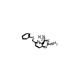 Nc1nc(N)c2nc(CSc3ccccc3)ccc2n1